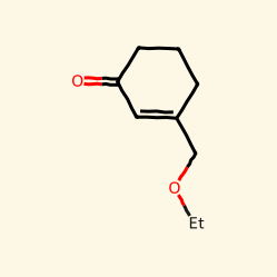 CCOCC1=CC(=O)CCC1